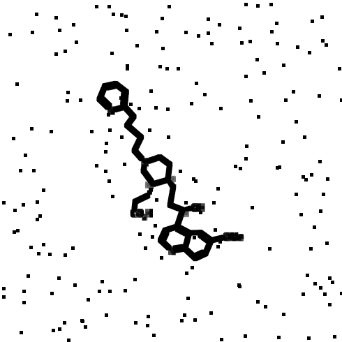 COc1ccc2nccc([C@H](O)CC[C@@H]3CCN(CCCCc4ccccn4)C[C@H]3CCC(=O)O)c2c1